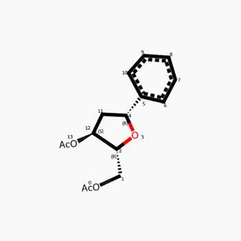 CC(=O)OC[C@H]1O[C@@H](c2ccccc2)C[C@@H]1OC(C)=O